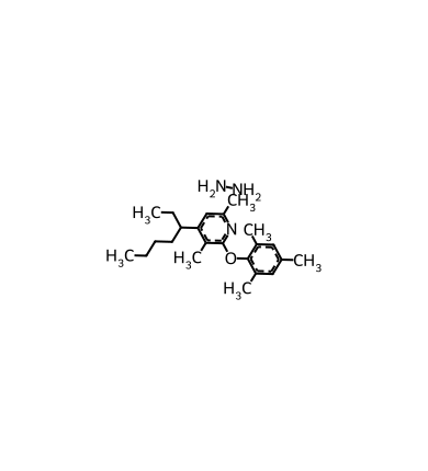 CCCCC(CC)c1cc(C)nc(Oc2c(C)cc(C)cc2C)c1C.NN